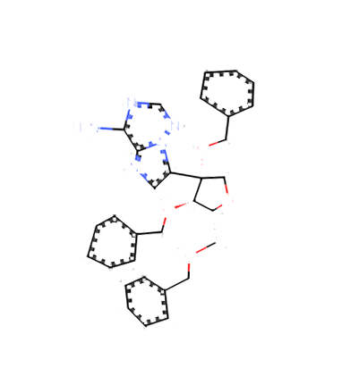 Nc1ncnn2c([C@@]3(OCc4ccccc4)CO[C@H](COCc4ccccc4)[C@H]3OCc3ccccc3)cnc12